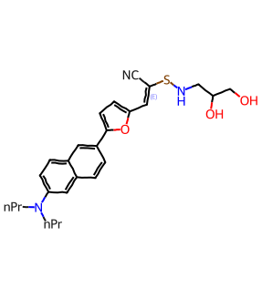 CCCN(CCC)c1ccc2cc(-c3ccc(/C=C(\C#N)SNCC(O)CO)o3)ccc2c1